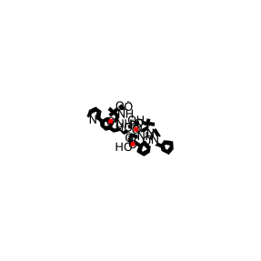 COC(=O)N[C@H](C(=O)N[C@@H](CC[C@](OC(=O)O)(OP(=O)(O)O)[C@H](Cc1ccccc1)NC(=O)[C@@H](N1CCN(Cc2ccccc2)C1=O)C(C)(C)C)Cc1ccc(-c2ccccn2)cc1)C(C)(C)C